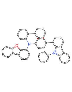 c1ccc(-c2ccccc2N(c2ccc(-c3cccc4c5ccccc5n(-c5ccccc5)c34)cc2)c2cccc3c2oc2ccccc23)cc1